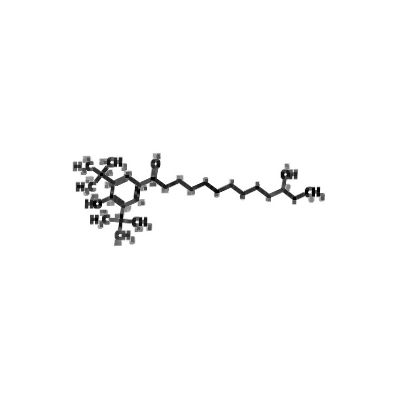 CCC(O)CCCCCCCCCC(=O)c1cc(C(C)(C)C)c(O)c(C(C)(C)C)c1